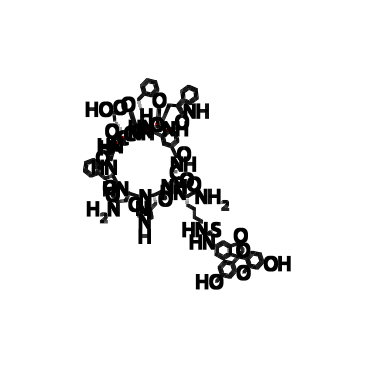 NC(=O)C[C@H]1NC(=O)[C@@H](Cc2ccccc2)NC(=O)[C@@H]2CCCCNC(=O)c3cc(cc(c3)C(=O)N[C@@H](Cc3c[nH]c4ccccc34)C(=O)N[C@H](Cc3ccccc3)C(=O)N[C@@H](CC(=O)O)C(=O)N2)C(=O)NC[C@@H](C(=O)N[C@@H](CCCCNC(=S)Nc2ccc3c(c2)C(=O)OC32c3ccc(O)cc3Oc3cc(O)ccc32)C(N)=O)NC(=O)[C@H](Cc2c[nH]cn2)NC1=O